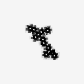 c1ccc(-c2ccc3c(-c4ccc5ccccc5c4)c4ccccc4c(-c4ccc5cc(-c6ccc7c(c6)c6ccccc6n6c8ccccc8nc76)ccc5c4)c3c2)cc1